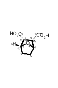 O=C(O)[C@@H]1[C@H](C(=O)O)C2CC[C@H]1O2